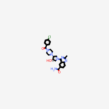 Cc1nc(N2C[C@H](O)[C@@H](N3CCN(C(=O)c4ccc(Cl)cc4)CC3)C2)c2cc(C(N)=O)ccc2n1